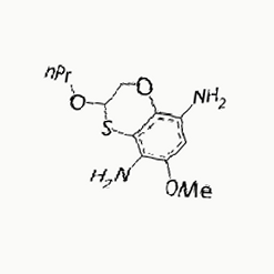 CCCOC1COc2c(N)cc(OC)c(N)c2S1